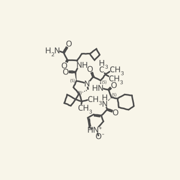 CC(C)(C)[C@H](NC(=O)[C@@H](NC(=O)C1=CC=C[NH+]([O-])C1)C1CCCCC1)C(=O)N1C[C@]2(C[C@H]1C(=O)NC(CC1CCC1)C(=O)C(N)=O)C(C)(C)C21CCC1